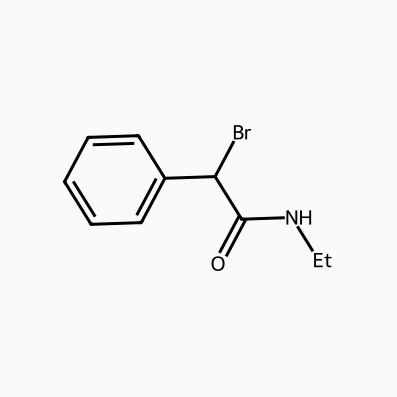 CCNC(=O)C(Br)c1ccccc1